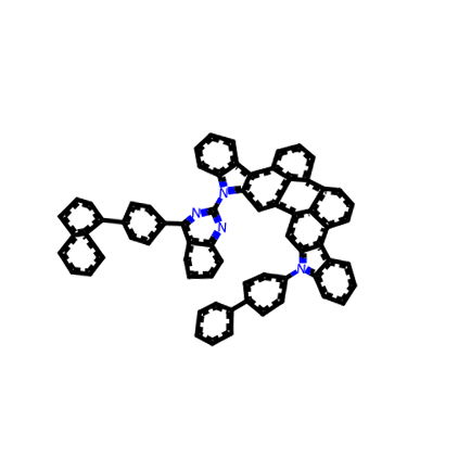 c1ccc(-c2ccc(-n3c4ccccc4c4c5cccc6c7cccc8c7c(cc7c8c8ccccc8n7-c7nc(-c8ccc(-c9cccc%10ccccc9%10)cc8)c8ccccc8n7)c(cc43)c65)cc2)cc1